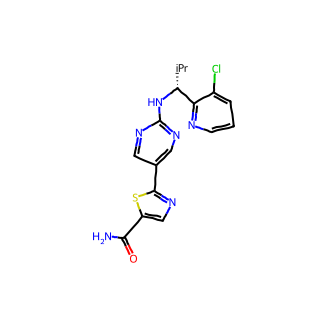 CC(C)[C@@H](Nc1ncc(-c2ncc(C(N)=O)s2)cn1)c1ncccc1Cl